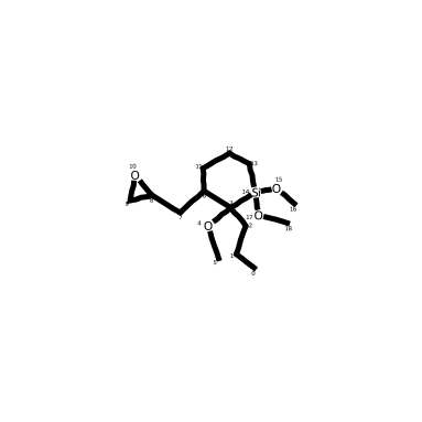 CCCC1(OC)C(CC2CO2)CCC[Si]1(OC)OC